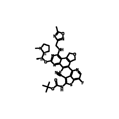 Cc1nc(CNc2nc(O[C@@H](C)[C@@H]3CCCN3C)nc3c(F)c(-c4ncc(F)c5sc(NC(=O)OC(C)(C)C)c(C#N)c45)c4c(c23)COC4)no1